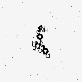 CCn1c(=O)[nH]/c(=N\c2ccc(Oc3ccn[nH]3)cc2)n(Cc2ccc(Cl)cc2)c1=O